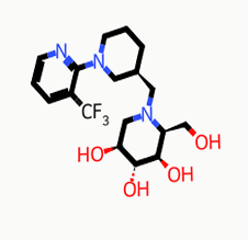 OC[C@H]1[C@@H](O)[C@H](O)[C@@H](O)CN1C[C@@H]1CCCN(c2ncccc2C(F)(F)F)C1